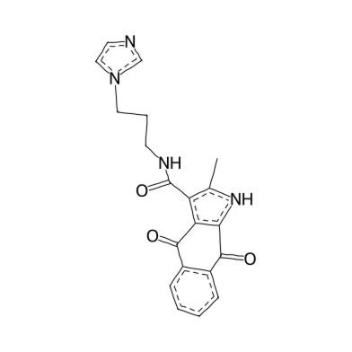 Cc1[nH]c2c(c1C(=O)NCCCn1ccnc1)C(=O)c1ccccc1C2=O